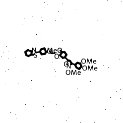 COc1ccc(-c2cc(-c3cc(OC)c(OC)c(OC)c3)no2)cc1OCCOc1ccc(-c2nc3ccccc3s2)cc1